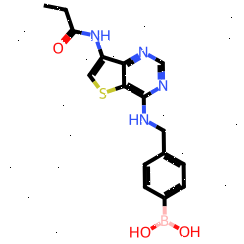 CCC(=O)Nc1csc2c(NCc3ccc(B(O)O)cc3)ncnc12